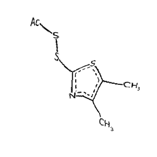 CC(=O)SSc1nc(C)c(C)s1